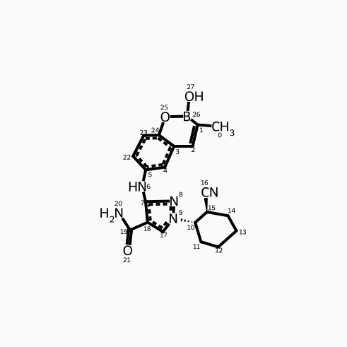 CC1=Cc2cc(Nc3nn([C@H]4CCCC[C@@H]4C#N)cc3C(N)=O)ccc2OB1O